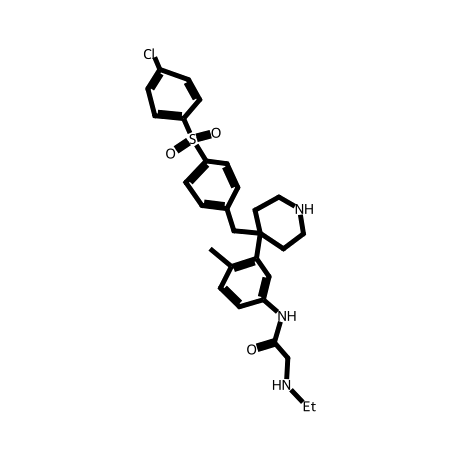 CCNCC(=O)Nc1ccc(C)c(C2(Cc3ccc(S(=O)(=O)c4ccc(Cl)cc4)cc3)CCNCC2)c1